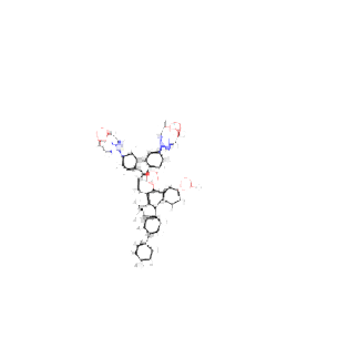 COc1ccc2c3c(c4c(c2c1)OC(c1ccc(N2CCOCC2)cc1)(c1ccc(N2CCOCC2)cc1)C=C4)C(C)(C)c1cc(-c2ccccc2)ccc1-3